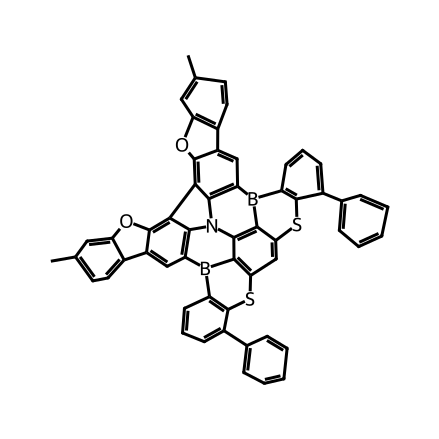 Cc1ccc2c(c1)oc1c2cc2c3c1c1c4oc5cc(C)ccc5c4cc4c1n3-c1c3c(cc5c1B4c1cccc(-c4ccccc4)c1S5)Sc1c(cccc1-c1ccccc1)B32